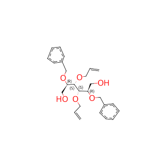 C=CCO[C@H]([C@@H](OCC=C)[C@@H](CO)OCc1ccccc1)[C@@H](CO)OCc1ccccc1